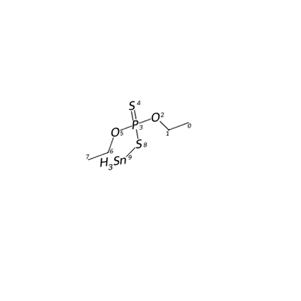 CCOP(=S)(OCC)[S][SnH3]